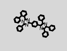 c1ccc(-c2nc(-c3ccc(-c4nc(-c5ccccc5)c(-c5ccccc5)nc4-c4ccccc4)cc3)nc(-c3ccccc3-c3ccccc3)n2)cc1